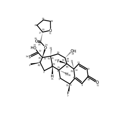 C[C@@H]1C[C@H]2[C@@H]3C[C@H](F)C4=CC(=O)C=C[C@]4(C)[C@@]3(F)[C@@H](O)C[C@]2(C)[C@@]1(OC(=O)[C@@H]1CCCO1)C(O)=S